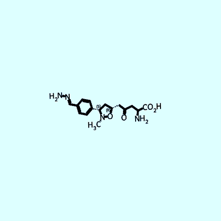 CN1O[C@@H](CC(=O)CC(N)C(=O)O)C[C@H]1c1ccc(C=NN)cc1